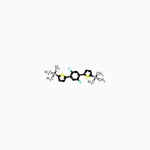 [CH3][Sn]([CH3])([CH3])[c]1ccc(-c2cc(F)c(-c3cc[c]([Sn]([CH3])([CH3])[CH3])s3)cc2F)s1